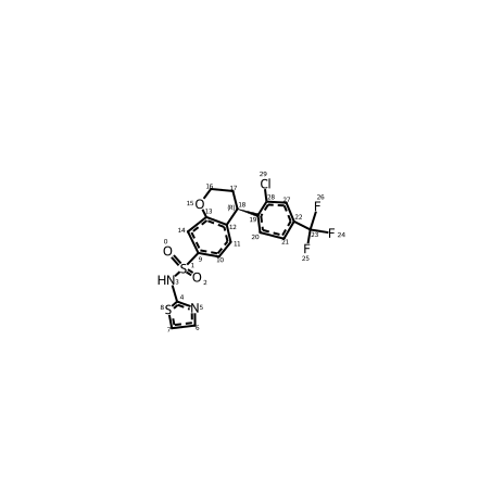 O=S(=O)(Nc1nccs1)c1ccc2c(c1)OCC[C@H]2c1ccc(C(F)(F)F)cc1Cl